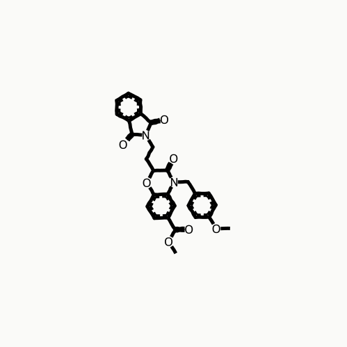 COC(=O)c1ccc2c(c1)N(Cc1ccc(OC)cc1)C(=O)C(CCN1C(=O)c3ccccc3C1=O)O2